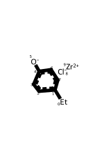 CCc1ccc([O-])cc1.[Cl-].[Zr+2]